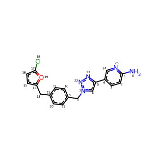 Nc1ccc(-c2cn(Cc3ccc(Cc4ccc(Cl)o4)cc3)nn2)cn1